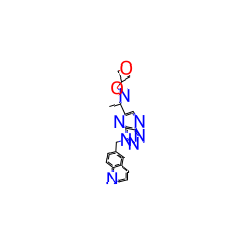 C/C(=N\OC1COC1)c1cnc2nnn(Cc3ccc4ncccc4c3)c2n1